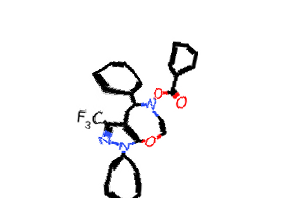 O=C(ON1C=COc2c(c(C(F)(F)F)nn2-c2ccccc2)C1c1ccccc1)c1ccccc1